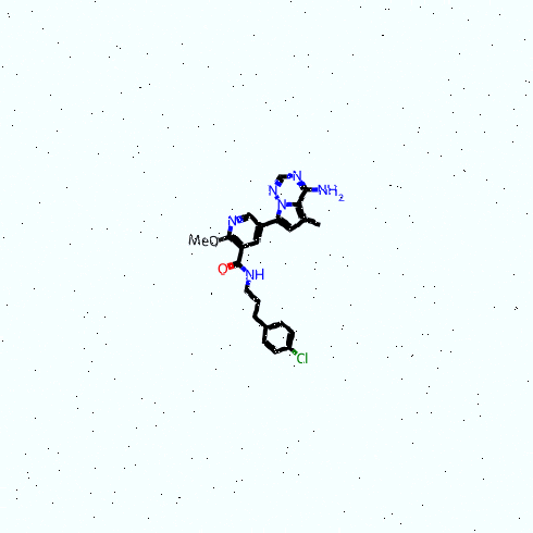 COc1ncc(-c2cc(C)c3c(N)ncnn23)cc1C(=O)NCCCc1ccc(Cl)cc1